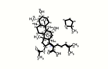 CC(=O)O[C@H]1C[C@@]2(C)[C@@H](C[C@@H](O)[C@H]3[C@@]4(C)CC[C@@H](O)[C@@H](C)[C@@H]4CC[C@@]32C)/C1=C(\CCC=C(C)C)C(=O)O.CC1CCCO1